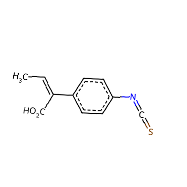 C/C=C(\C(=O)O)c1ccc(N=C=S)cc1